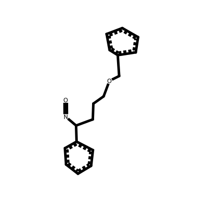 O=NC(CCCOCc1ccccc1)c1ccccc1